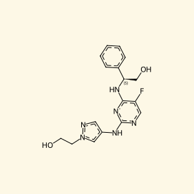 OCCn1cc(Nc2ncc(F)c(N[C@H](CO)c3ccccc3)n2)cn1